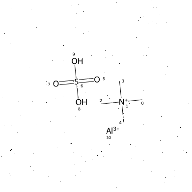 C[N+](C)(C)C.O=S(=O)(O)O.[Al+3]